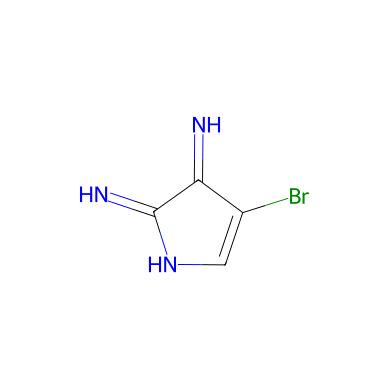 N=C1NC=C(Br)C1=N